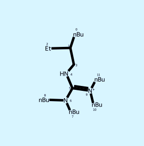 CCCCC(CC)CNC(N(CCCC)CCCC)=[N+](CCCC)CCCC